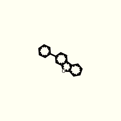 [c]1cc(-c2ccccc2)cc2oc3ccccc3c12